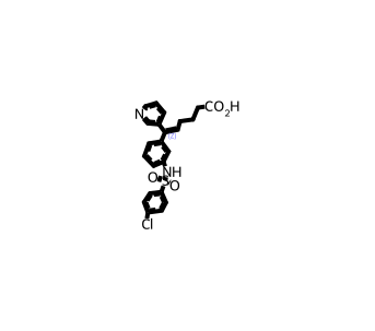 O=C(O)CCC/C=C(\c1cccnc1)c1cccc(NS(=O)(=O)c2ccc(Cl)cc2)c1